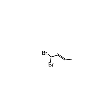 CC=[C]C(Br)Br